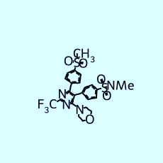 CNS(=O)(=O)c1ccc(-c2c(-c3ccc(S(C)(=O)=O)cc3)nc(C(F)(F)F)nc2N2CCOCC2)cc1